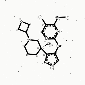 CCNc1nc(Nc2c[nH]nc2[C@@]2(C)CCCN(C3COC3)C2)ncc1C(F)(F)F